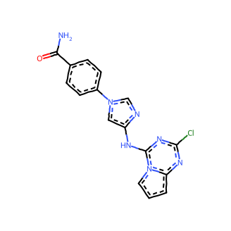 NC(=O)c1ccc(-n2cnc(Nc3nc(Cl)nc4cccn34)c2)cc1